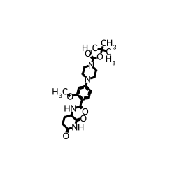 COc1cc(N2CCN(C(=O)OC(C)(C)C)CC2)ccc1C(=O)NC1CCC(=O)NC1=O